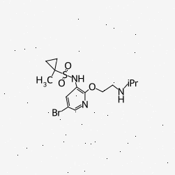 CC(C)NCCOc1ncc(Br)cc1NS(=O)(=O)C1(C)CC1